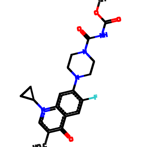 CCCOC(=O)NC(=O)N1CCN(c2cc3c(cc2F)c(=O)c(C(=O)O)cn3C2CC2)CC1